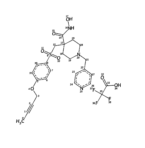 CC#CCOc1ccc(S(=O)(=O)CC2(C(=O)NO)CCN(Cc3ccncc3)CC2)cc1.O=C(O)C(F)(F)F